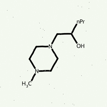 CCCC(O)CN1CCN(C)CC1